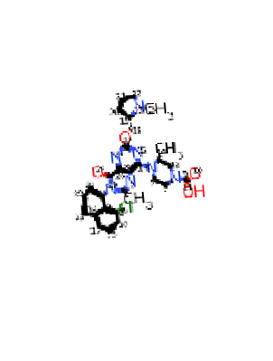 Cc1nc2c(N3CCN(C(=O)O)C[C@@H]3C)nc(OC[C@@H]3CCCN3C)nc2c(=O)n1-c1cccc2cccc(Cl)c12